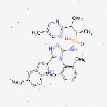 COc1ccc2[nH]c(-c3nnc(NS(=O)(=O)C(C)C(OC)c4ncc(C)cn4)n3-c3c(OC)cccc3OC)cc2c1